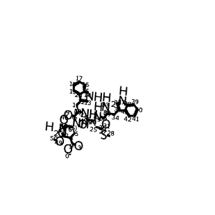 COC(=O)C(C[C@H](NC(=O)[C@@H](Cc1c[nH]c2ccccc12)NC(=O)[C@@H](CCSC)NC(=O)[C@H](N)Cc1c[nH]c2ccccc12)C(N)=O)C(=O)OC